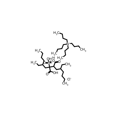 CCCCC(CC)CC(C(=O)O)C(CC(CC)CCCC)(C(=O)O)S(=O)(=O)O.CCCC[N+](CCCC)(CCCC)CCCC.[Cl-]